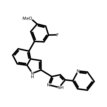 COc1cc(F)cc(-c2cccc3[nH]c(-c4cc(-c5ccccn5)[nH]n4)cc23)c1